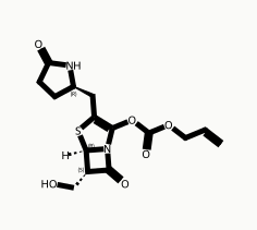 C=CCOC(=O)OC1=C(C[C@H]2CCC(=O)N2)S[C@@H]2[C@@H](CO)C(=O)N12